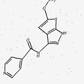 O=C(O)Oc1cc2c(NC(=O)c3ccncc3)n[nH]c2s1